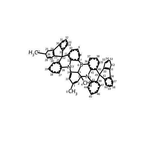 CC1=CC2(C)C3B(c4cccc5c4N(C3=C1)c1ccccc1C51C3=C(CC(C)C=C3)c3ccccc31)c1cccc3c1N2c1ccccc1C31C2=C(CCC=C2)c2ccccc21